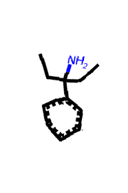 CCC(N)(CC)c1c[c]ccc1